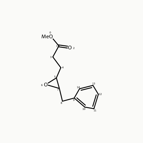 COC(=O)CCC1OC1Cc1ccccc1